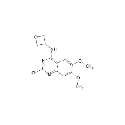 COc1cc2nc(Cl)nc(NC3COC3)c2cc1OC